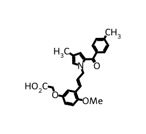 COc1ccc(OCC(=O)O)cc1C=CCn1cc(C)cc1C(=O)c1ccc(C)cc1